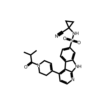 CC(C)C(=O)N1CC=C(c2ccnc3[nH]c4cc(S(=O)(=O)NC5(C#N)CC5)ccc4c23)CC1